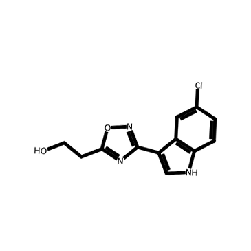 OCCc1nc(-c2c[nH]c3ccc(Cl)cc23)no1